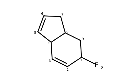 FC1C=CC2C=CCC2C1